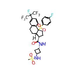 CS(=O)(=O)N[C@H]1C[C@H](NC(=O)[C@@H]2CC[C@@]3(S(=O)(=O)c4ccc(F)cc4)c4ccc(C(F)(C(F)(F)F)C(F)(F)F)cc4CC[C@@H]23)C1